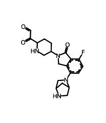 O=CC(=O)C1CCC(N2Cc3c(N4CC5CC4CN5)ccc(F)c3C2=O)CN1